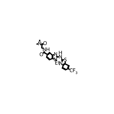 CCn1c(Nc2nc3ccc(C(F)(F)F)cc3s2)nc2cc(C(=O)NCC(=O)N(C)C)ccc21